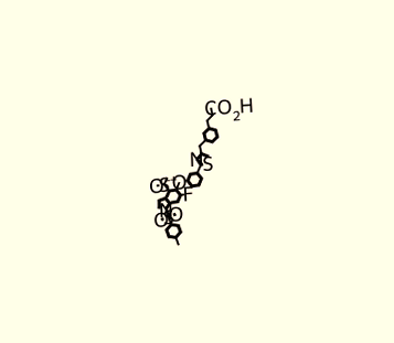 Cc1ccc(S(=O)(=O)n2ccc3c([S+](C)[O-])c(Oc4cccc(-c5nc(Cc6cccc(CCC(=O)O)c6)cs5)c4)c(F)cc32)cc1